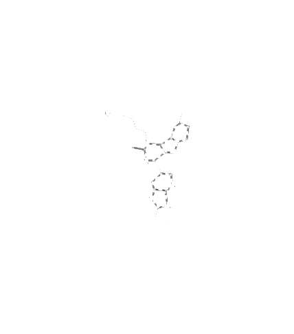 COCCCn1c(=O)nc(-c2cnc3c(c2)nc(C)n3C)c2oc3ccc(Cl)cc3c21